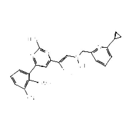 COc1c(C#N)cccc1-c1cc(/C(N)=C/N(N)Cc2cccc(C3CC3)n2)nc(N)n1